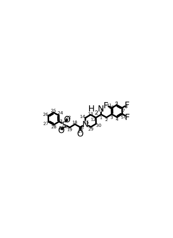 NC(Cc1cc(F)c(F)cc1F)C1CCN(C(=O)CCS(=O)(=O)c2ccccc2)CC1